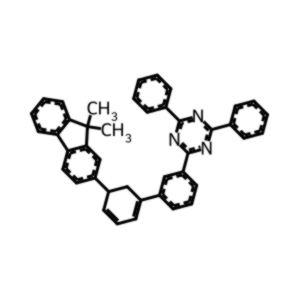 CC1(C)c2ccccc2-c2ccc(C3C=CC=C(c4cccc(-c5nc(-c6ccccc6)nc(-c6ccccc6)n5)c4)C3)cc21